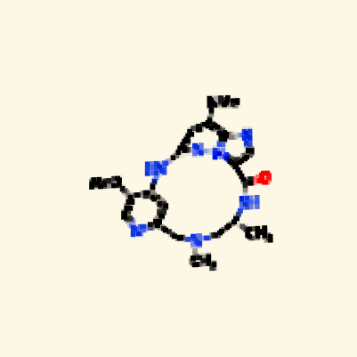 CNc1cc2nn3c(cnc13)C(=O)N[C@H](C)CN(C)Cc1cc(c(OC)cn1)N2